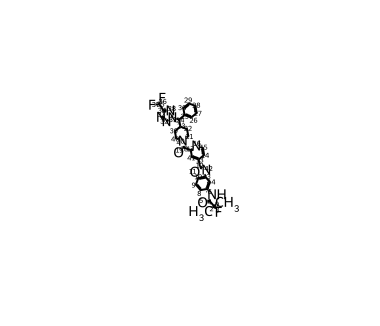 CC(C)(F)C(=O)Nc1ccc2oc(-c3ccnc(C(=O)N4CCC(C(c5ccccc5)n5nnc(C(F)F)n5)CC4)c3)nc2c1